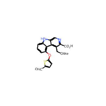 COCc1c(C(=O)O)ncc2[nH]c3cccc(Oc4ccc(C=O)s4)c3c12